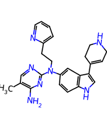 Cc1cnc(N(CCc2ccccn2)c2ccc3[nH]cc(C4=CCNCC4)c3c2)nc1N